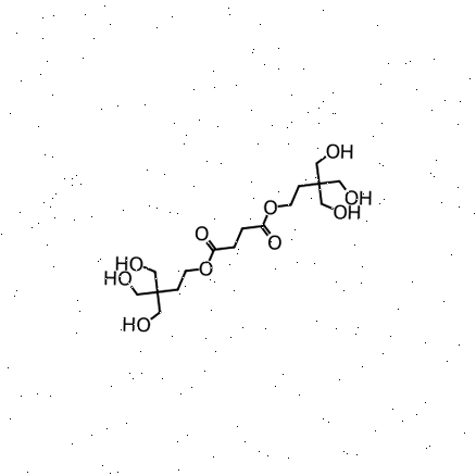 O=C(CCC(=O)OCCC(CO)(CO)CO)OCCC(CO)(CO)CO